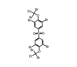 CCC(Br)(Br)Oc1c(Br)cc(S(=O)(=O)c2cc(Br)c(OC(Br)(Br)CC)c(Br)c2)cc1Br